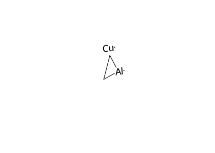 [CH2]1[CH2][Al]1.[Cu]